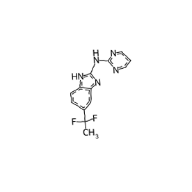 CC(F)(F)c1ccc2[nH]c(Nc3ncccn3)nc2c1